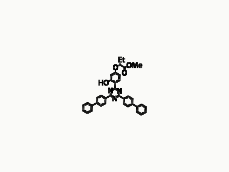 CCC(Oc1ccc(-c2nc(-c3ccc(-c4ccccc4)cc3)nc(-c3ccc(-c4ccccc4)cc3)n2)c(O)c1)C(=O)OC